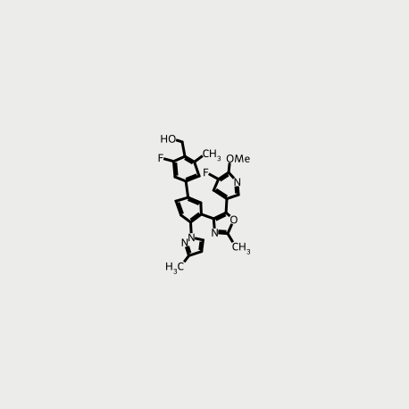 COc1ncc(-c2oc(C)nc2-c2cc(-c3cc(C)c(CO)c(F)c3)ccc2-n2ccc(C)n2)cc1F